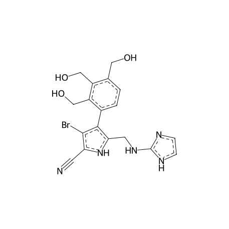 N#Cc1[nH]c(CNc2ncc[nH]2)c(-c2ccc(CO)c(CO)c2CO)c1Br